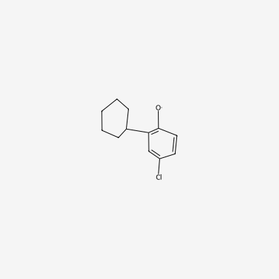 [O]c1ccc(Cl)cc1C1CCCCC1